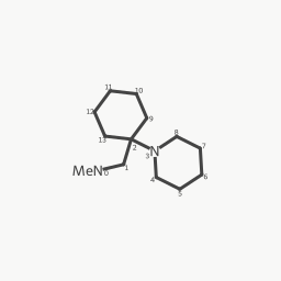 CNCC1(N2CCCCC2)CCCCC1